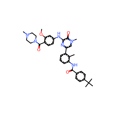 COc1cc(Nc2nc(-c3cccc(NC(=O)c4ccc(C(C)(C)C)cc4)c3C)cn(C)c2=O)ccc1C(=O)N1CCN(C)CC1